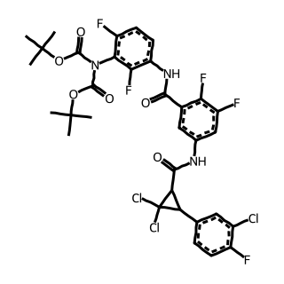 CC(C)(C)OC(=O)N(C(=O)OC(C)(C)C)c1c(F)ccc(NC(=O)c2cc(NC(=O)C3C(c4ccc(F)c(Cl)c4)C3(Cl)Cl)cc(F)c2F)c1F